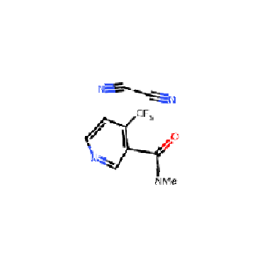 CNC(=O)c1cnccc1C(F)(F)F.N#CC#N